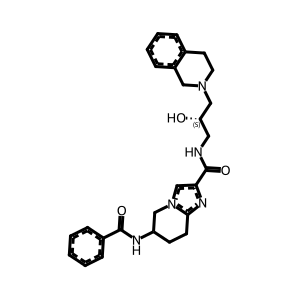 O=C(NC1CCc2nc(C(=O)NC[C@H](O)CN3CCc4ccccc4C3)cn2C1)c1ccccc1